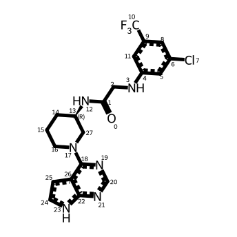 O=C(CNc1cc(Cl)cc(C(F)(F)F)c1)N[C@@H]1CCCN(c2ncnc3[nH]ccc23)C1